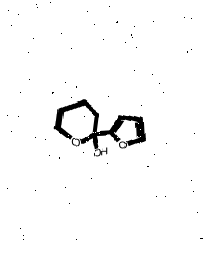 OC1(c2ccco2)CCCCO1